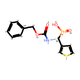 O=C(N[C@@H](c1ccsc1)[PH](=O)O)OCc1ccccc1